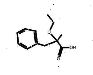 CCOC(C)(Cc1ccccc1)C(=O)O